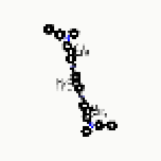 CC1(C)c2cc(/C=C/c3ccc4c(c3)C(C)(C)c3cc(N(c5ccccc5)c5ccc(-c6ccccc6)cc5)ccc3-4)ccc2-c2ccc(/C=C/c3ccc4c(c3)C(C)(C)c3cc(N(c5ccccc5)c5ccc(-c6ccccc6)cc5)ccc3-4)cc21